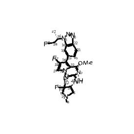 COc1nc(N[C@@H]2CN(C)CC2(F)F)nn2cc(F)c(-c3ccc4nnn([C@@H](C)CF)c4c3)c12